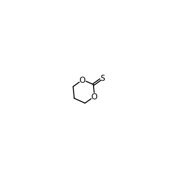 S=C1OCCCO1